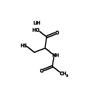 CC(=O)NC(CS)C(=O)O.[LiH]